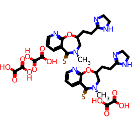 CN1CC(CCC2=NCCN2)Oc2ncccc2C1=S.CN1CC(CCC2=NCCN2)Oc2ncccc2C1=S.O=C(O)C(=O)O.O=C(O)C(=O)O.O=C(O)C(=O)O